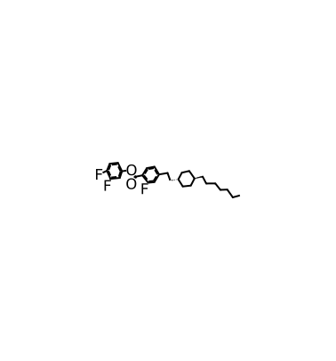 CCCCCCC[C@H]1CC[C@H](CCc2ccc(C(=O)Oc3ccc(F)c(F)c3)c(F)c2)CC1